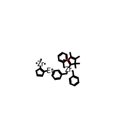 CC1=C(C)C(C)(C)[C]([Zr]([CH2]c2ccccc2)([CH2]c2ccccc2)[CH2]c2ccccc2)=C1C.CCC1=[C]([Zr]([CH3])([CH3])[CH3])CC=C1